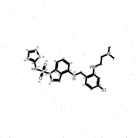 CN(C)CCNc1cc(Cl)ccc1CNc1cccc2c1cnn2S(=O)(=O)Nc1ncns1